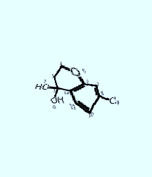 OC1(O)CCOc2cc(Cl)ccc21